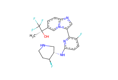 C[C@@](O)(c1ccc2ncc(-c3nc(N[C@H]4CNCC[C@@H]4F)ccc3F)n2c1)C(F)(F)F